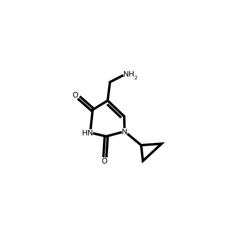 NCc1cn(C2CC2)c(=O)[nH]c1=O